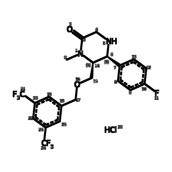 CN1C(=O)CN[C@@H](c2ccc(F)cc2)[C@H]1COCc1cc(C(F)(F)F)cc(C(F)(F)F)c1.Cl